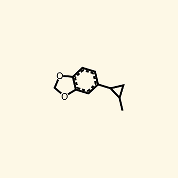 CC1CC1c1ccc2c(c1)OCO2